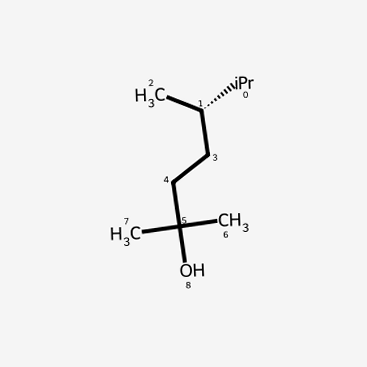 CC(C)[C@@H](C)CCC(C)(C)O